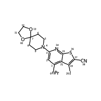 CCCc1cc(N2CCC3(CC2)OCCO3)nc2sc(C#N)c(I)c12